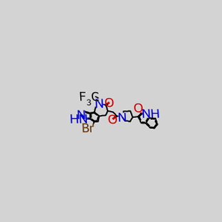 O=C(CC1Cc2cc(Br)c3[nH]ncc3c2CN(CC(F)(F)F)C1=O)N1CCC(c2cc3ccccc3[nH]c2=O)CC1